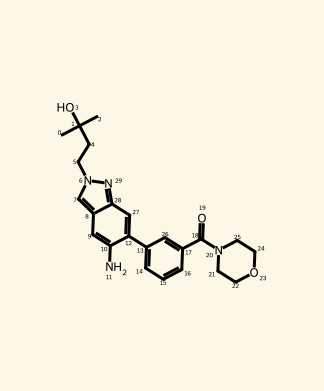 CC(C)(O)CCn1cc2cc(N)c(-c3cccc(C(=O)N4CCOCC4)c3)cc2n1